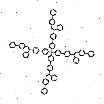 C(=C(/c1ccccc1)c1ccc(-c2cc[c]([Ge]([c]3ccc(-c4ccc(/C(=C/c5ccc(-c6ccccc6)cc5)c5ccccc5)cc4)cc3)([c]3ccc(-c4ccc(/C(=C/c5ccc(-c6ccccc6)cc5)c5ccccc5)cc4)cc3)[c]3ccc(-c4ccc(/C(=C/c5ccc(-c6ccccc6)cc5)c5ccccc5)cc4)cc3)cc2)cc1)/c1ccc(-c2ccccc2)cc1